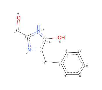 O=[C]c1nc(Cc2ccccc2)c(O)[nH]1